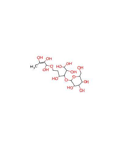 C/C(O)=C(/O)C(O)OCCC(O)C(OC1OC(CO)C(O)C(O)C1O)C(O)C(O)O